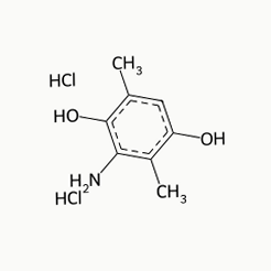 Cc1cc(O)c(C)c(N)c1O.Cl.Cl